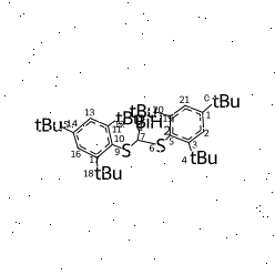 CC(C)(C)c1cc(C(C)(C)C)c(S[CH]([BiH2])Sc2c(C(C)(C)C)cc(C(C)(C)C)cc2C(C)(C)C)c(C(C)(C)C)c1